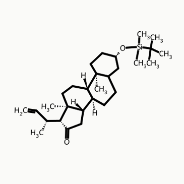 C=C[C@@H](C)[C@H]1C(=O)C[C@H]2[C@@H]3CCC4C[C@@H](O[Si](C)(C)C(C)(C)C)CC[C@]4(C)[C@H]3CC[C@]12C